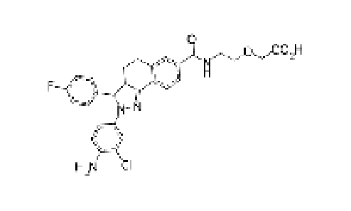 Nc1ccc(N2N=C3c4ccc(C(=O)NCCOCC(=O)O)cc4CCC3C2c2ccc(F)cc2)cc1Cl